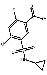 CCC(=O)c1cc(S(=O)(=O)NC2CC2)c(Cl)cc1F